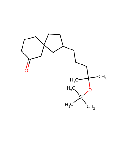 CC(C)(CCCC1CCC2(CCCC(=O)C2)C1)O[Si](C)(C)C